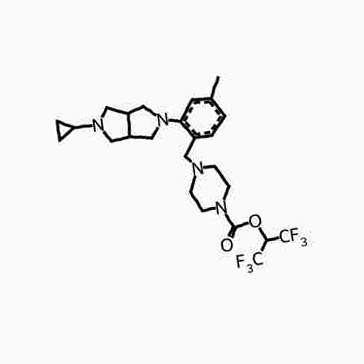 Cc1ccc(CN2CCN(C(=O)OC(C(F)(F)F)C(F)(F)F)CC2)c(N2CC3CN(C4CC4)CC3C2)c1